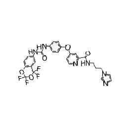 O=C(Nc1ccc(Oc2ccnc(C(=O)NCCCn3ccnc3)c2)cc1)Nc1ccc2c(c1)C(F)(F)OC(F)(F)O2